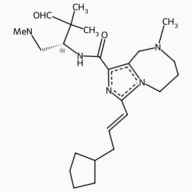 CNC[C@@H](NC(=O)c1nc(C=CCC2CCCC2)n2c1CN(C)CCC2)C(C)(C)C=O